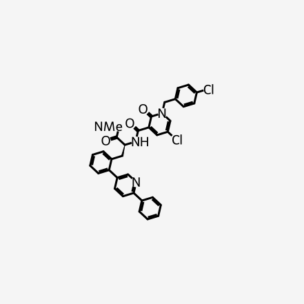 CNC(=O)[C@H](Cc1ccccc1-c1ccc(-c2ccccc2)nc1)NC(=O)c1cc(Cl)cn(Cc2ccc(Cl)cc2)c1=O